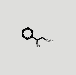 CSCC(c1ccccc1)C(C)C